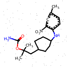 Cc1ccc(NC2CCC(CC(C)(C)OC(N)=O)CC2)c([N+](=O)[O-])c1